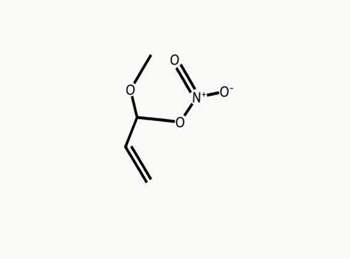 C=CC(OC)O[N+](=O)[O-]